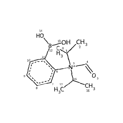 CC(C)[N+](C=O)(c1ccccc1B(O)O)C(C)C